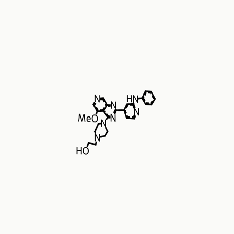 COc1cncc2nc(-c3ccnc(Nc4ccccc4)c3)nc(N3CCN(CCO)CC3)c12